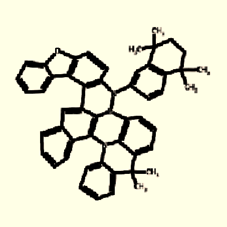 CC1(C)CCC(C)(C)c2cc(N3B4c5cccc6c5N(c5ccccc5C6(C)C)c5c4c(cc4ccccc54)-c4c3ccc3oc5ccccc5c43)ccc21